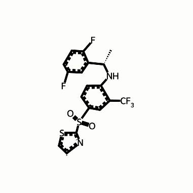 C[C@H](Nc1ccc(S(=O)(=O)c2n[c]cs2)cc1C(F)(F)F)c1cc(F)ccc1F